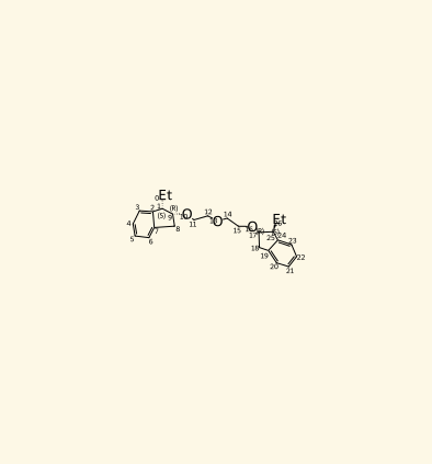 CC[C@H]1c2ccccc2C[C@H]1OCCOCCO[C@@H]1Cc2ccccc2[C@@H]1CC